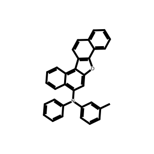 Cc1cccc(N(c2ccccc2)c2cc3oc4c5ccccc5ccc4c3c3ccccc23)c1